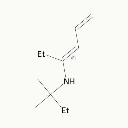 C=C/C=C(\CC)NC(C)(C)CC